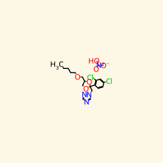 CCCCCOCC1COC(Cn2cncn2)(c2ccc(Cl)cc2Cl)O1.O=[N+]([O-])O